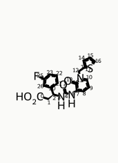 O=C(O)C[C@H](NC(=O)Nc1cccn(Cc2cccs2)c1=O)c1cccc(F)c1